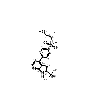 C[C@@H](CO)NS(=O)(=O)c1ccc(-c2ccnc3[nH]c(C(F)(F)F)cc23)nc1